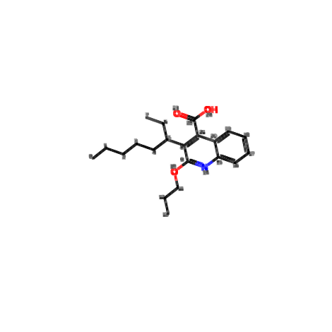 CCCCCC(CC)c1c(OCCC)nc2ccccc2c1C(=O)O